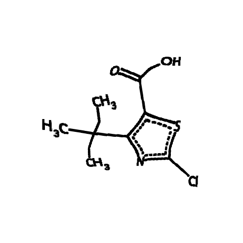 CC(C)(C)c1nc(Cl)sc1C(=O)O